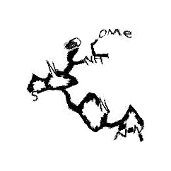 COCC(C)NC(=O)c1cc(Cc2ccc(-c3ccn(C)n3)nc2)c2sccc2n1